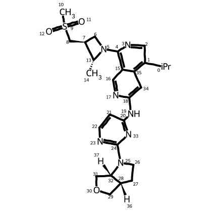 CC(C)c1cnc(N2C[C@H](CS(C)(=O)=O)[C@H]2C)c2cnc(Nc3ccnc(N4CC[C@@H]5COC[C@@H]54)n3)cc12